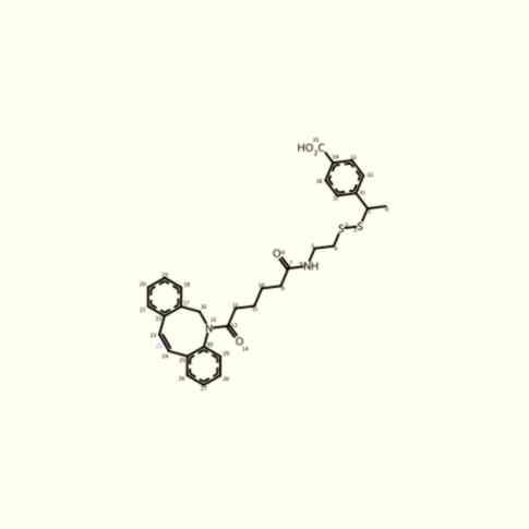 CC(SSCCNC(=O)CCCCC(=O)N1Cc2ccccc2/C=C\c2ccccc21)c1ccc(C(=O)O)cc1